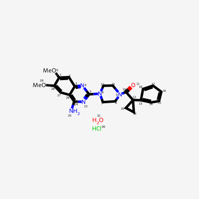 COc1cc2nc(N3CCN(C(=O)C4(c5ccccc5)CC4)CC3)nc(N)c2cc1OC.Cl.O